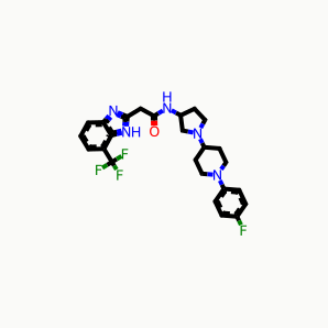 O=C(Cc1nc2cccc(C(F)(F)F)c2[nH]1)NC1CCN(C2CCN(c3ccc(F)cc3)CC2)C1